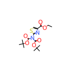 CCOC(=O)c1csc(N(C(=O)OC(C)(C)C)C(=O)OC(C)(C)C)n1